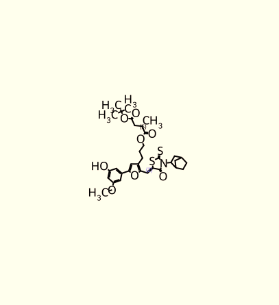 COc1cc(O)cc(-c2cc(CCCOC(=O)[C@@H](C)CC(=O)OC(C)(C)C)c(/C=C3\SC(=S)N(C4CC5CCC4C5)C3=O)o2)c1